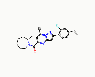 C=Cc1ccc(-c2cc3nc(C(=O)N4CCCCC[C@H]4C)cc(CC)n3n2)c(F)c1